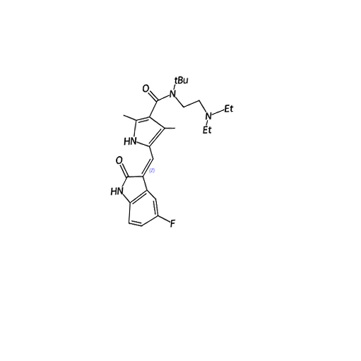 CCN(CC)CCN(C(=O)c1c(C)[nH]c(/C=C2\C(=O)Nc3ccc(F)cc32)c1C)C(C)(C)C